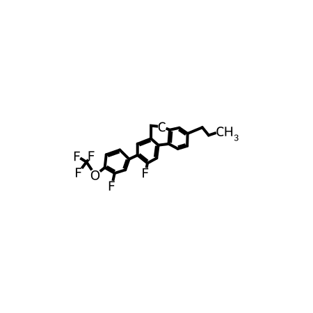 CCCc1ccc2c(c1)CCc1cc(-c3ccc(OC(F)(F)F)c(F)c3)c(F)cc1-2